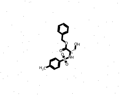 Cc1ccc(S(=O)(=O)N[C@@H](CO)C(=O)OCc2ccccc2)cc1